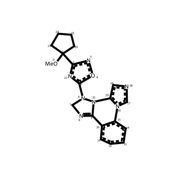 COC1(c2noc(N3CN=C4c5ccccc5-n5cncc5N43)n2)CCCC1